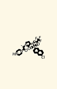 C[C@@H](C(=O)N1CCNCC1)N1CC[C@H](N(OC(=O)C(F)(F)F)S(=O)(=O)c2ccc3cc(Cl)ccc3c2)C1=O